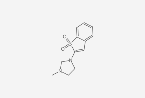 CN1CCN(C2=Cc3ccccc3S2(=O)=O)C1